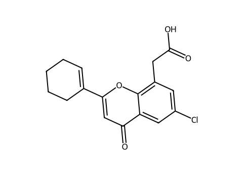 O=C(O)Cc1cc(Cl)cc2c(=O)cc(C3=CCCCC3)oc12